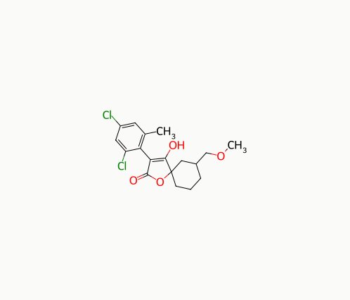 COCC1CCCC2(C1)OC(=O)C(c1c(C)cc(Cl)cc1Cl)=C2O